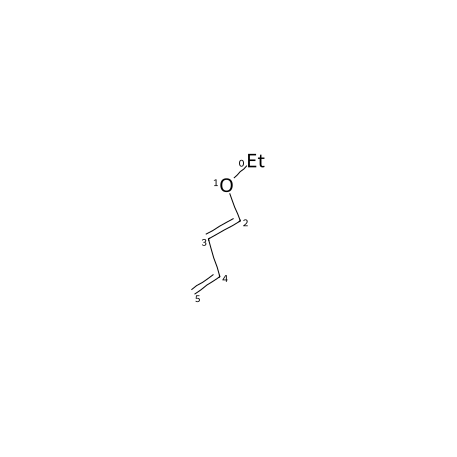 [CH2]CO/C=C/C=C